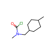 CC1CCC(CN(C)C(=O)Cl)CC1